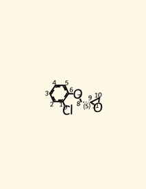 Clc1ccccc1OC[C@@H]1CO1